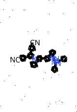 N#Cc1ccc(-c2cc(-c3ccc(C#N)cc3)cc(-n3c4ccccc4c4cc(-c5ccc6c(c5)c5ccccc5n6-c5nc(-c6ccccc6)nc(-c6ccccc6)n5)ccc43)c2)cc1